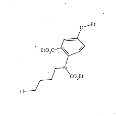 CCOC(=O)c1cc(OCC)ccc1N(CCCCCl)C(=O)OCC